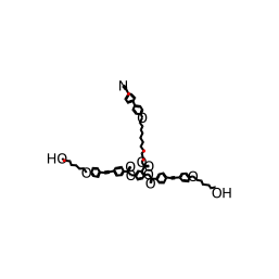 N#Cc1ccc(-c2ccc(OCCCCCCCCCCOC(=O)c3cc(OC(=O)c4ccc(C#Cc5ccc(OCCCCCCO)cc5)cc4)ccc3OC(=O)c3ccc(C#Cc4ccc(OCCCCCCO)cc4)cc3)cc2)cc1